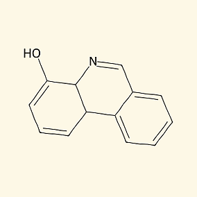 OC1=CC=CC2c3ccccc3C=NC12